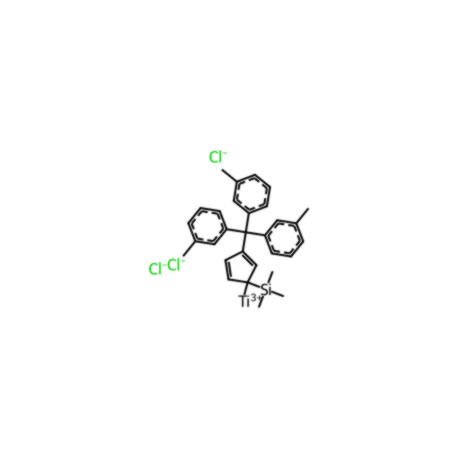 Cc1cccc(C(C2=C[C]([Ti+3])([Si](C)(C)C)C=C2)(c2cccc(C)c2)c2cccc(C)c2)c1.[Cl-].[Cl-].[Cl-]